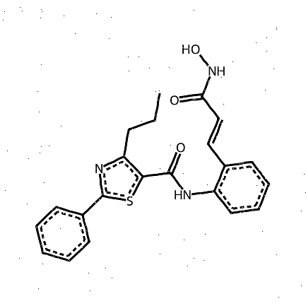 CCCc1nc(-c2ccccc2)sc1C(=O)Nc1ccccc1C=CC(=O)NO